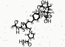 CNC(=O)[C@@H]1CCN(Cc2sc(NC(C)=O)nc2CCc2ccc(NC(NC(=O)O)(N(C(=O)O)C(C)(C)C)C(C)(C)C)cc2)C1